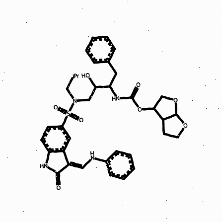 CC(C)CN(CC(O)C(Cc1ccccc1)NC(=O)OC1COC2OCCC12)S(=O)(=O)c1ccc2c(c1)/C(=C\Nc1ccccc1)C(=O)N2